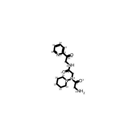 NCC(=O)N(CC(=O)NCC(=O)c1ccccn1)N1CCCCC1